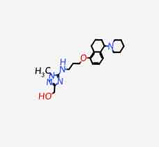 Cn1nc(CO)nc1NCCCOc1cccc2c1CCCC2N1CCCCC1